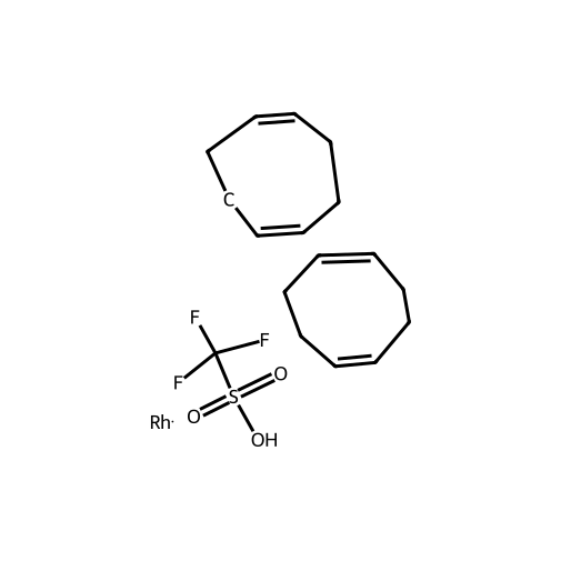 C1=CCCC=CCC1.C1=CCCC=CCC1.O=S(=O)(O)C(F)(F)F.[Rh]